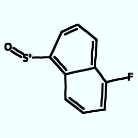 O=[S+]c1cccc2c(F)cccc12